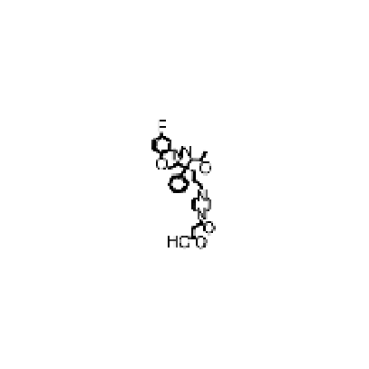 CC(=O)C1=NN2c3cc(F)ccc3OCC2[C@@]1(CCCN1CCN(C(=O)CC(=O)O)CC1)c1ccccc1